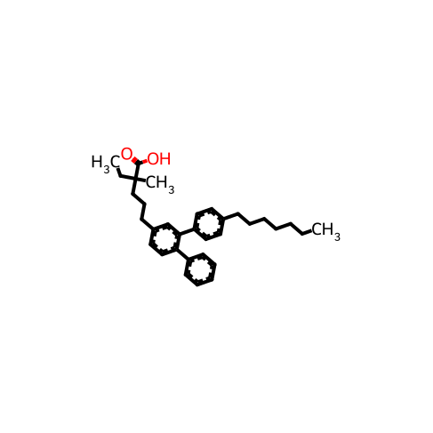 CCCCCCCc1ccc(-c2cc(CCCC(C)(CC)C(=O)O)ccc2-c2ccccc2)cc1